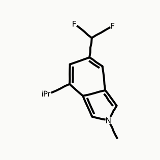 CC(C)c1cc(C(F)F)cc2cn(C)cc12